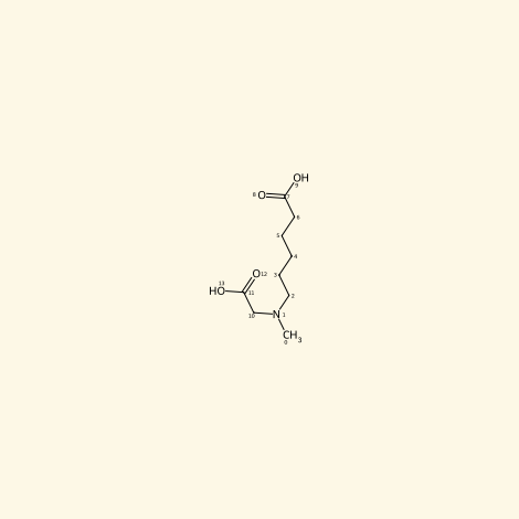 CN(CCCCCC(=O)O)CC(=O)O